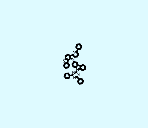 c1ccc(-c2ccc3c(n2)c2ccc4sc5ccccc5c4c2n3-c2ccc3c(c2)c2ccccc2n3-c2nc(-c3ccccc3)nc(-c3ccccc3)n2)cc1